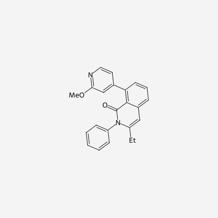 CCc1cc2cccc(-c3ccnc(OC)c3)c2c(=O)n1-c1ccccc1